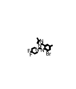 Cc1cc(Br)c2nc(N3CCC(F)(F)CC3)n3cc(C)nc3c2c1